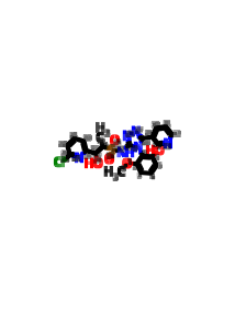 COc1cccc(O)c1-n1c(NS(=O)(=O)[C@H](C)[C@@H](O)c2cccc(Cl)n2)nnc1C1=C=C=CN=C1